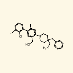 Cc1nc(N2CCC(CN)(Cc3ccccc3)CC2)c(CO)nc1-c1cccc(Cl)c1Cl